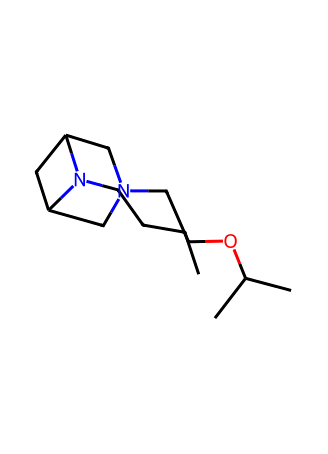 CCCCN1C2CC1CN(CCOC(C)C)C2